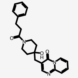 O=C(CCc1ccccc1)N1CCC(O)(Cc2cnc3ccccn3c2=O)CC1